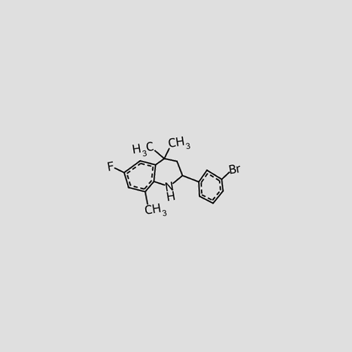 Cc1cc(F)cc2c1NC(c1cccc(Br)c1)CC2(C)C